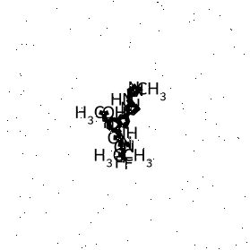 CC(O)CN1CCC(NC(=O)c2nnc(C(C)(C)C(F)F)o2)c2ccc(-c3ccnc(Nc4cnn(C)c4)n3)cc2C1